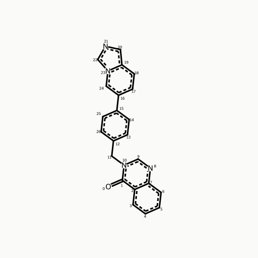 O=c1c2ccccc2ncn1Cc1ccc(-c2ccc3cncn3c2)cc1